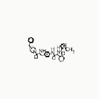 Cn1nccc1C(=O)NC(C(=O)Nc1ccc(CC(N)C(=O)N2CCN(Cc3ccccc3)CC2)cc1)C1CCCCC1